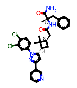 CC1(C)[C@@H](CC(=O)N[C@@](C)(Cc2ccccc2)C(N)=O)C[C@@H]1c1cc(-c2cccnc2)nn1-c1ccc(Cl)c(Cl)c1